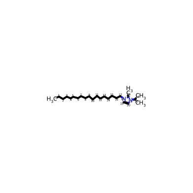 CCCCCCCCCCCCCCCCCC[n+]1ccn(C(C)C)c1C